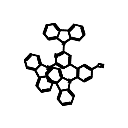 N#Cc1ccc(-n2c3ccccc3c3ccccc32)c(-c2cc(-n3c4ccccc4c4ccccc43)nc(-n3c4ccccc4c4ccccc43)c2)c1